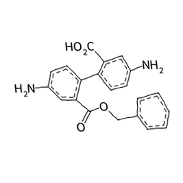 Nc1ccc(-c2ccc(N)cc2C(=O)OCc2ccccc2)c(C(=O)O)c1